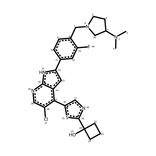 CN(C)C1CCN(Cc2ccc(-c3cc4c(-c5cnc(C6(O)CCC6)s5)c(Cl)cnc4[nH]3)cc2F)C1